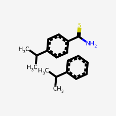 CC(C)c1ccc(C(N)=S)cc1.CC(C)c1ccccc1